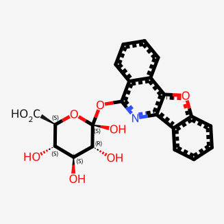 O=C(O)[C@H]1O[C@](O)(Oc2nc3c4ccccc4oc3c3ccccc23)[C@H](O)[C@@H](O)[C@@H]1O